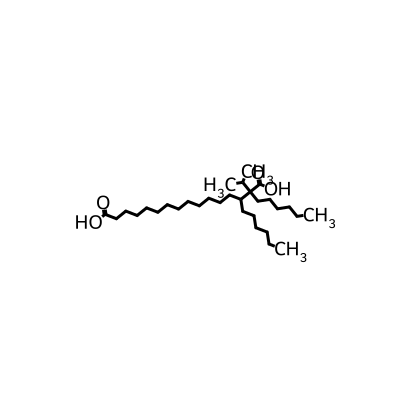 CCCCCCC(CCCCCCCCCCCCC(=O)O)C(CCCCCC)(C(=O)O)C(C)C